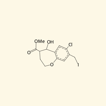 COC(=O)C1CCOc2cc(CI)c(Cl)cc2C1O